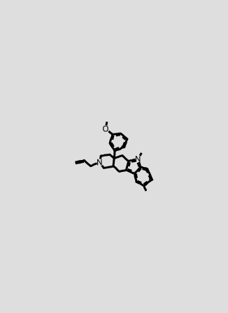 C=CCN1CCC2(c3cccc(OC)c3)Cc3c(c4cc(C)ccc4n3C)CC2C1